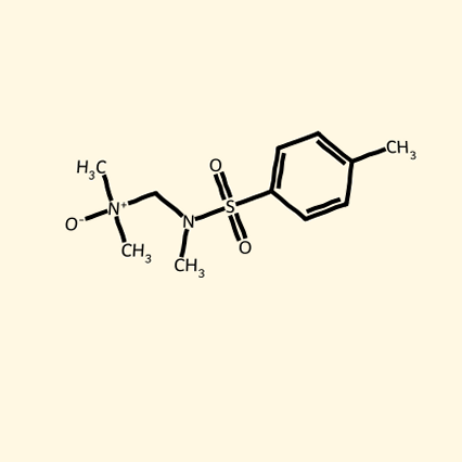 Cc1ccc(S(=O)(=O)N(C)C[N+](C)(C)[O-])cc1